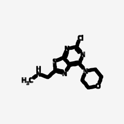 CNCc1nc2c(N3CCOCC3)nc(Cl)nc2s1